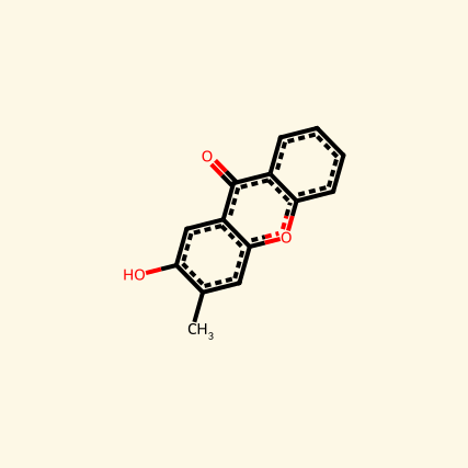 Cc1cc2oc3ccccc3c(=O)c2cc1O